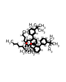 CCCCC[CH2][Hf]([CH3])([CH3])(=[SiH2])([CH2]CCCCC)([CH]1C=Cc2c(-c3cccc(C(C)(C)C)c3)cccc21)[CH]1C=Cc2c(-c3cccc(C(C)(C)C)c3)cccc21